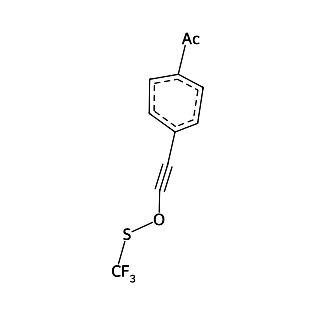 CC(=O)c1ccc(C#COSC(F)(F)F)cc1